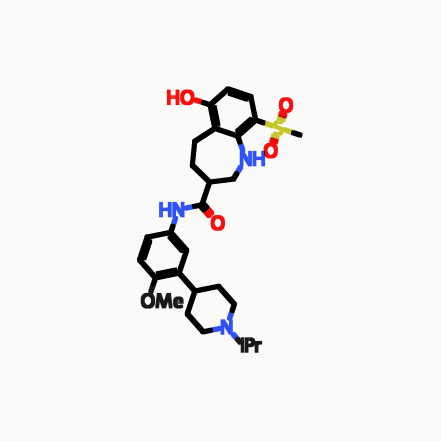 COc1ccc(NC(=O)C2CCc3c(O)ccc(S(C)(=O)=O)c3NC2)cc1C1CCN(C(C)C)CC1